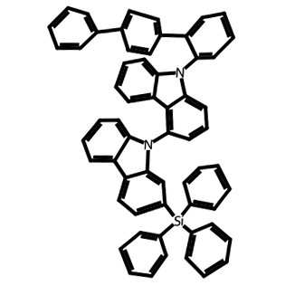 c1ccc(-c2ccc(-c3ccccc3-n3c4ccccc4c4c(-n5c6ccccc6c6ccc([Si](c7ccccc7)(c7ccccc7)c7ccccc7)cc65)cccc43)cc2)cc1